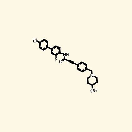 O=C(C#Cc1ccc(CN2CCC(O)CC2)cc1)Nc1ccc(-c2ccc(Cl)cc2)cc1F